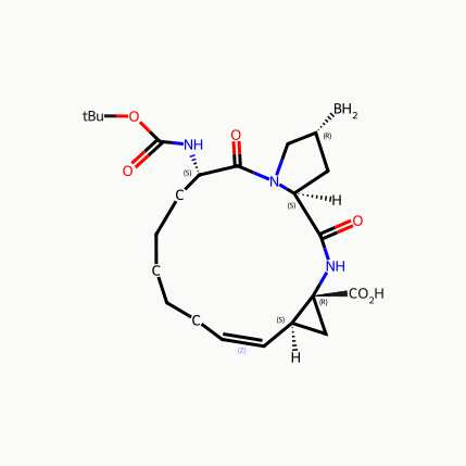 B[C@@H]1C[C@H]2C(=O)N[C@]3(C(=O)O)C[C@H]3/C=C\CCCCC[C@H](NC(=O)OC(C)(C)C)C(=O)N2C1